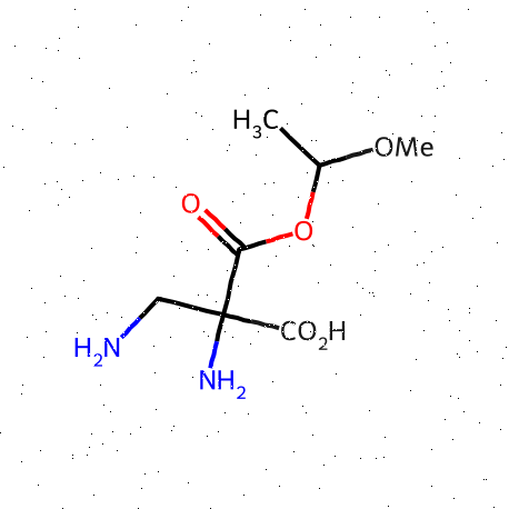 COC(C)OC(=O)C(N)(CN)C(=O)O